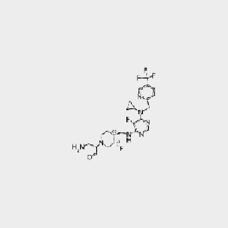 NCC(C=O)N1CC[C@@H](CNc2ncnc(N(Cc3ccc(C(F)(F)F)cn3)C3CC3)c2F)[C@H](F)C1